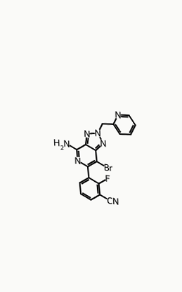 N#Cc1cccc(-c2nc(N)c3nn(Cc4ccccn4)nc3c2Br)c1F